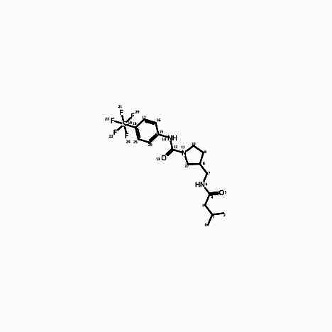 CC(C)CC(=O)NCC1CCN(C(=O)Nc2ccc(S(F)(F)(F)(F)F)cc2)C1